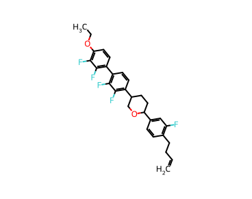 C=CCCc1ccc(C2CCC(c3ccc(-c4ccc(OCC)c(F)c4F)c(F)c3F)CO2)cc1F